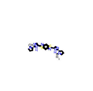 CN1CCC[C@H]1c1ncc(-c2nc3cc4sc(-c5cnc([C@@H]6CCCN6C)[nH]5)nc4cc3s2)[nH]1